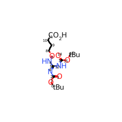 CC(C)(C)OC(=O)/N=C(/NOCCCC(=O)O)NC(=O)OC(C)(C)C